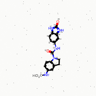 O=C(O)Nc1ccc2c(c1)CCN2C(=O)Nc1ccc2[nH]c(=O)[nH]c2c1